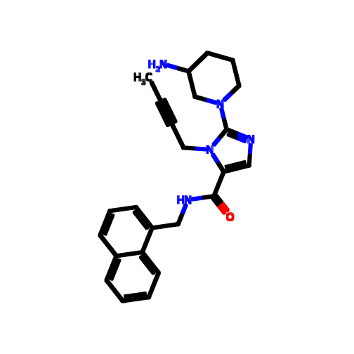 CC#CCn1c(C(=O)NCc2cccc3ccccc23)cnc1N1CCCC(N)C1